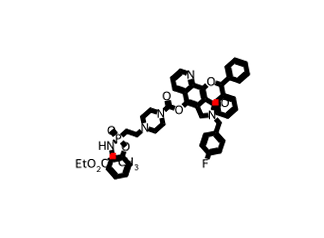 CCOC(=O)[C@H](C)NP(=O)(CCN1CCN(C(=O)Oc2c3c(c(OC(c4ccccc4)c4ccccc4)c4ncccc24)C(=O)N(Cc2ccc(F)cc2)C3)CC1)Oc1ccccc1